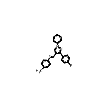 Cc1ccc(N=Cc2cn(-c3ccccc3)nc2-c2ccc(F)cc2)cc1